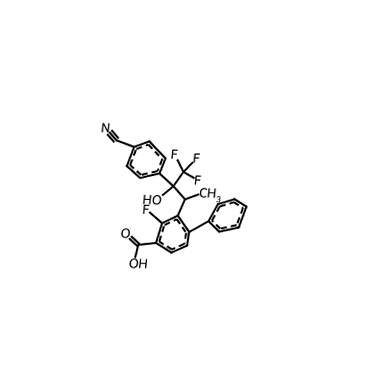 CC(c1c(-c2ccccc2)ccc(C(=O)O)c1F)C(O)(c1ccc(C#N)cc1)C(F)(F)F